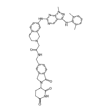 Cc1cccc(C)c1Nc1nn(C)c2nc(Nc3ccc4c(c3)CN(CC(=O)NCc3ccc5c(c3)CN(C3CCC(=O)NC3=O)C5=O)CC4)ncc12